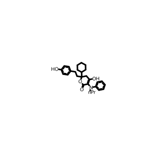 CCCN(C1=C(O)CC(CCc2ccc(O)cc2)(C2CCCCC2)OC1=O)c1ccccc1